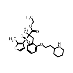 CCOC(=O)C(C)(Cc1ccccc1OCCC1CCCCN1)S(=O)(=O)c1ccoc1C